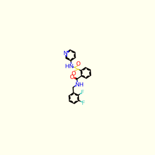 O=C(NCc1cccc(F)c1F)c1ccccc1S(=O)(=O)Nc1cccnc1